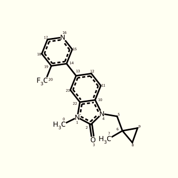 Cn1c(=O)n(CC2(C)CC2)c2ccc(-c3cnccc3C(F)(F)F)cc21